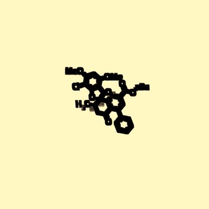 CCCCOC(=O)c1cc(-c2ccccc2)c2c(n1)[C@@]1(Oc3c(Cl)c(OC)cc(OC)c3C1=O)[C@H](C)CC2=O